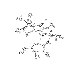 CCc1c([O][Sn]([CH3])([CH3])[O][Sn]([CH3])([CH3])[O]c2ccc(C)c(C)c2CC)ccc(C)c1C